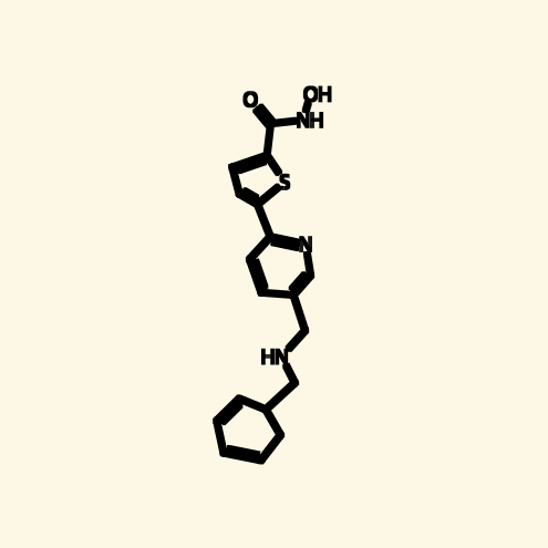 O=C(NO)c1ccc(-c2ccc(CNCC3C=CC=CC3)cn2)s1